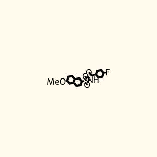 COc1ccc2cc(S(=O)(=O)NC(=O)c3ccc(F)cc3)ccc2c1